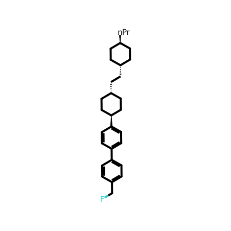 CCC[C@H]1CC[C@H](CC[C@H]2CC[C@H](c3ccc(-c4ccc(CF)cc4)cc3)CC2)CC1